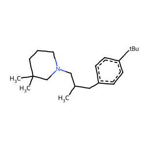 CC(Cc1ccc(C(C)(C)C)cc1)CN1CCCC(C)(C)C1